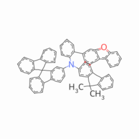 CC1(C)c2ccccc2-c2ccc(N(c3ccc4c(c3)C3(c5ccccc5-c5ccccc53)c3ccccc3-4)c3ccccc3-c3ccc4c(c3)oc3ccccc34)cc21